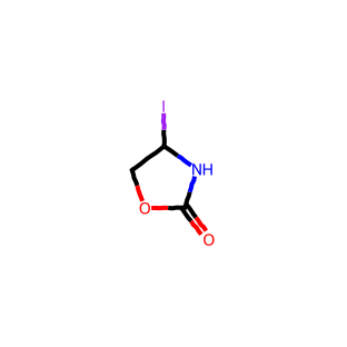 O=C1NC(I)CO1